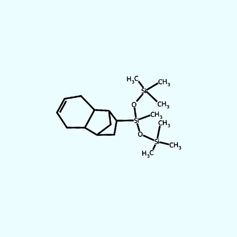 C[Si](C)(C)O[Si](C)(O[Si](C)(C)C)C1CC2CC1C1CC=CCC21